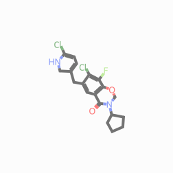 O=C1c2cc(CC3=CC=C(Cl)NC3)c(Cl)c(F)c2OCN1C1CCCC1